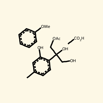 CC(=O)O.CC(=O)OCC(O)(CO)c1ccc(C)cc1O.COc1ccccc1